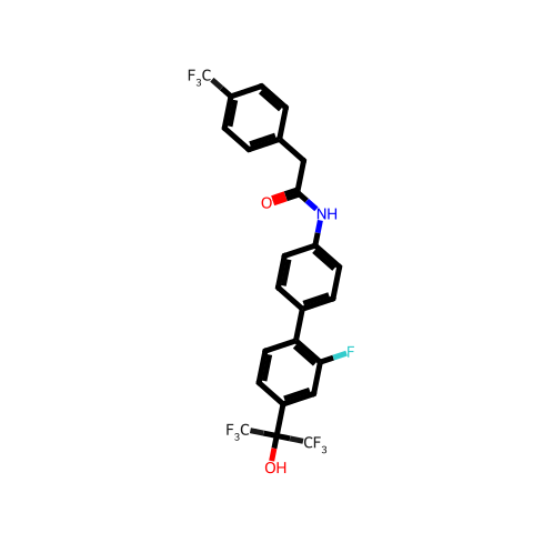 O=C(Cc1ccc(C(F)(F)F)cc1)Nc1ccc(-c2ccc(C(O)(C(F)(F)F)C(F)(F)F)cc2F)cc1